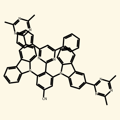 Cc1nc(C)nc(-c2ccc3c(c2)c2ccccc2n3-c2cc(C#N)cc(-n3c4ccccc4c4cc(-c5nc(C)nc(C)n5)ccc43)c2-c2nc(-c3ccccc3)cc(-c3ccccc3)n2)n1